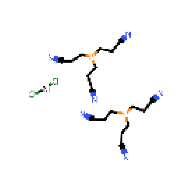 N#CCCP(CCC#N)CCC#N.N#CCCP(CCC#N)CCC#N.[Cl][Ni][Cl]